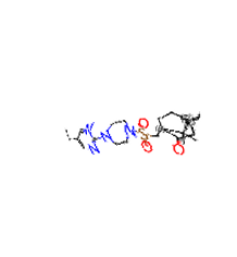 CCc1cnc(N2CCN(S(=O)(=O)C[C@]34CC[C@](C)(CC3=O)C4(C)C)CC2)nc1